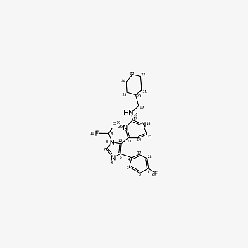 Fc1ccc(-c2ncn(C(F)F)c2-c2ccnc(NCC3CCCCC3)n2)cc1